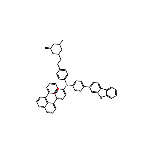 C=C1CC(C)CC(CCc2ccc(N(c3ccc(-c4ccc5c(c4)sc4ccccc45)cc3)c3ccc(-c4cccc5cccc(-c6ccccc6)c45)cc3)cc2)C1